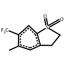 Cc1cc2c(cc1C(F)(F)F)S(=O)(=O)CC2